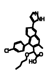 CCCCOC(C(=O)O)c1c(C)cc2cc(-c3ccn[nH]3)ccc2c1-c1ccc(Cl)cc1